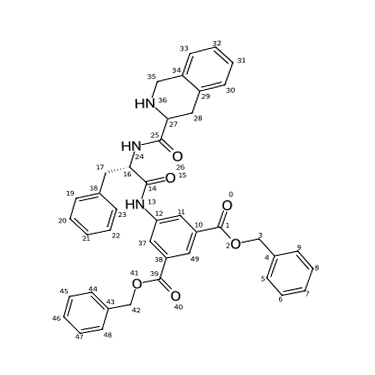 O=C(OCc1ccccc1)c1cc(NC(=O)[C@H](Cc2ccccc2)NC(=O)C2Cc3ccccc3CN2)cc(C(=O)OCc2ccccc2)c1